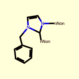 CCCCCCCCCC1N(CCCCCCCCC)C=CN1Cc1ccccc1